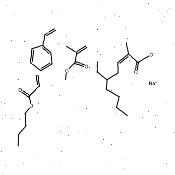 C=C(C)C(=O)OC.C=CC(=O)OCCCC.C=Cc1ccccc1.CCCCC(CC)CC=C(C)C(=O)[O-].[Na+]